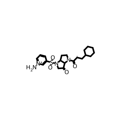 N[n+]1cccc(S(=O)(=O)N2CC(=O)C3C2CCN3C(=O)[CH]CC2CCCCC2)c1